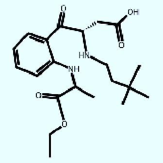 CCOC(=O)C(C)Nc1ccccc1C(=O)[C@H](CC(=O)O)NCCC(C)(C)C